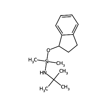 CC(C)(C)N[Si](C)(C)OC1CCc2ccccc21